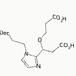 CCCCCCCCCCCCn1ccnc1C(CC(=O)O)OCCC(=O)O